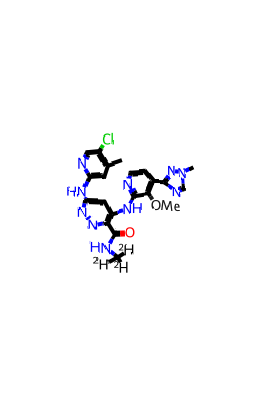 [2H]C([2H])([2H])NC(=O)c1nnc(Nc2cc(C)c(Cl)cn2)cc1Nc1nccc(-c2ncn(C)n2)c1OC